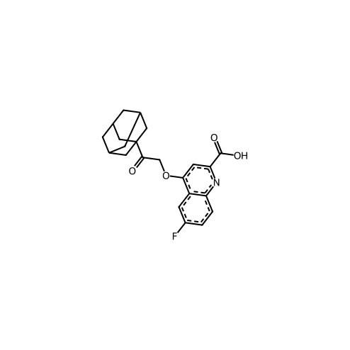 O=C(O)c1cc(OCC(=O)C23CC4CC(CC(C4)C2)C3)c2cc(F)ccc2n1